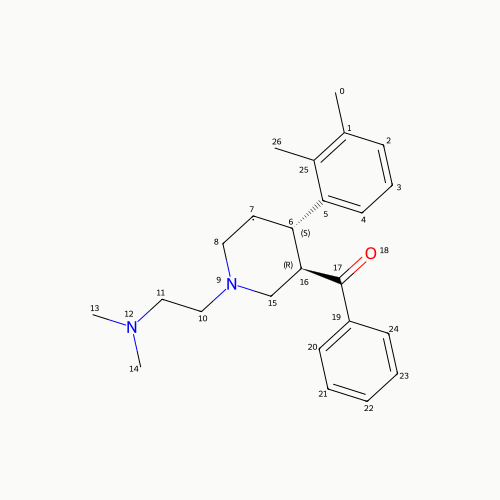 Cc1cccc([C@H]2[CH]CN(CCN(C)C)C[C@@H]2C(=O)c2ccccc2)c1C